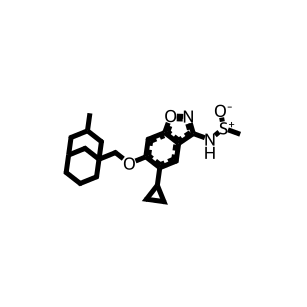 CC1CC2CCCC(COc3cc4onc(N[S+](C)[O-])c4cc3C3CC3)(C1)C2